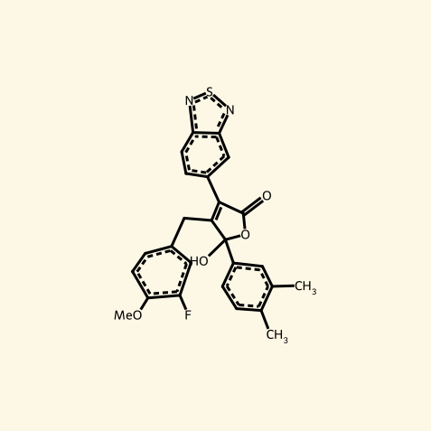 COc1ccc(CC2=C(c3ccc4nsnc4c3)C(=O)OC2(O)c2ccc(C)c(C)c2)cc1F